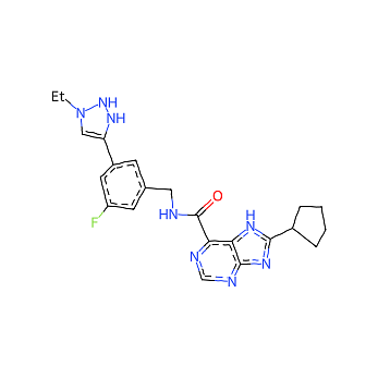 CCN1C=C(c2cc(F)cc(CNC(=O)c3ncnc4nc(C5CCCC5)[nH]c34)c2)NN1